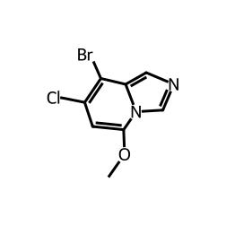 COc1cc(Cl)c(Br)c2cncn12